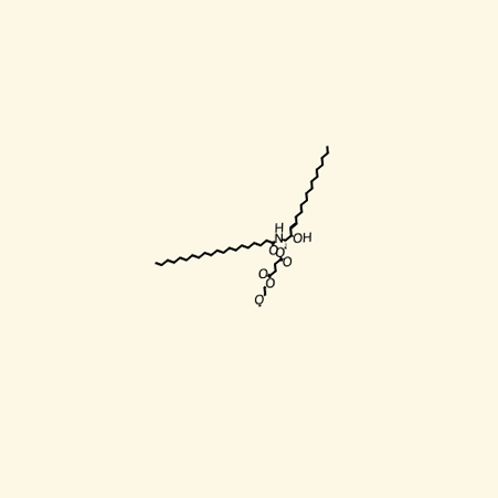 CCCCCCCCCCCCC/C=C/[C@@H](O)[C@H](COC(=O)CCC(=O)OCCOC)NC(=O)CCCCCCCCCCCCCCCCCCC